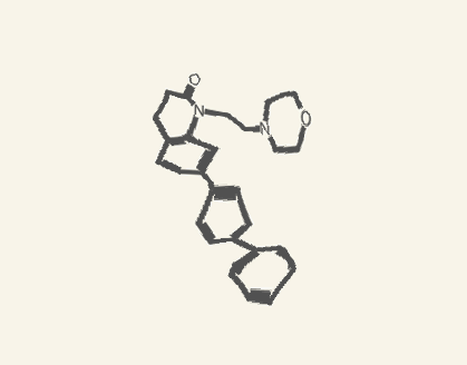 O=C1CCc2ccc(-c3ccc(-c4ccccc4)cc3)cc2N1CCN1CCOCC1